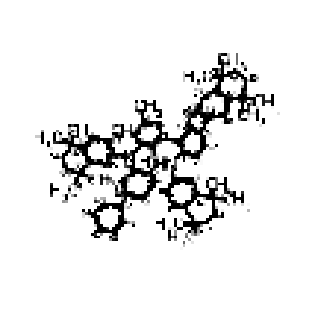 Cc1cc(-c2c(Nc3ccc4c(c3)C(C)(C)CCC4(C)C)ccc3c2sc2cc4c(cc23)C(C)(C)CCC4(C)C)c2c(c1)N(c1cc3c(cc1C)C(C)(C)CCC3(C)C)c1cc(-c3ccccc3)ccc1B2